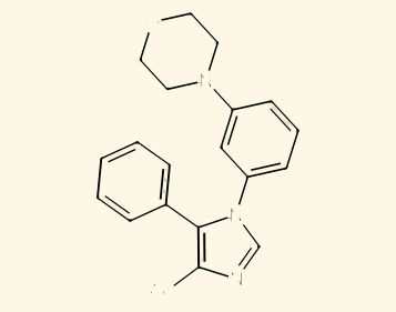 CC(=O)c1ncn(-c2cccc(N3CCOCC3)c2)c1-c1ccccc1